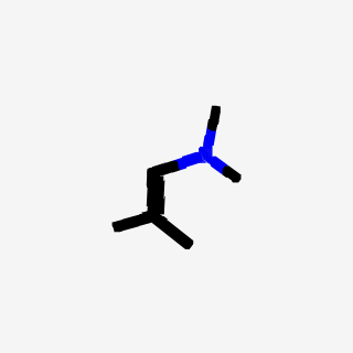 CC(C)=CN(C)C